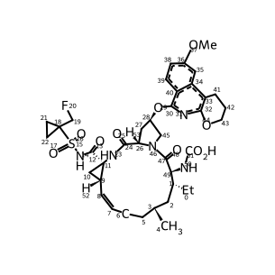 CC[C@@H]1C[C@@H](C)CCC=C[C@@H]2C[C@@]2(C(=O)NS(=O)(=O)C2(CF)CC2)NC(=O)[C@@H]2C[C@@H](Oc3nc4c(c5cc(OC)ccc35)CCCO4)CN2C(=O)[C@H]1NC(=O)O